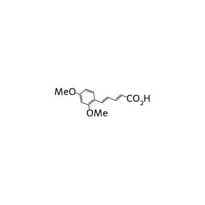 COc1ccc(/C=C/C=C/C(=O)O)c(OC)c1